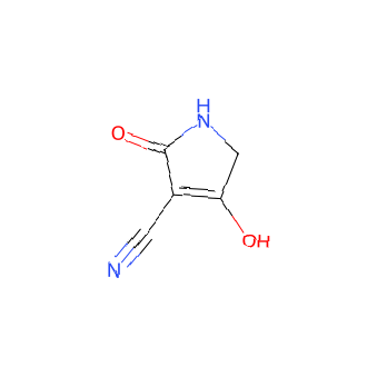 N#CC1=C(O)CNC1=O